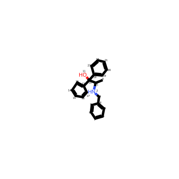 CC(NCc1ccccc1)C(O)(c1ccccc1)c1ccccc1